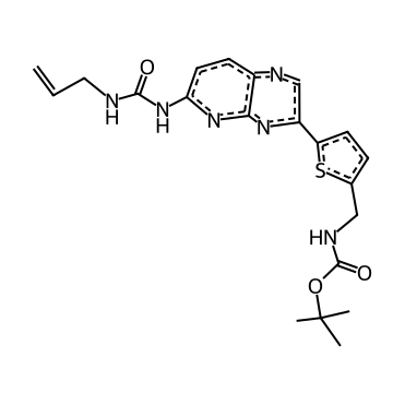 C=CCNC(=O)Nc1ccc2ncc(-c3ccc(CNC(=O)OC(C)(C)C)s3)nc2n1